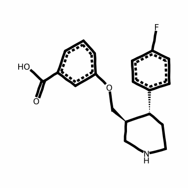 O=C(O)c1cccc(OC[C@@H]2CNCC[C@H]2c2ccc(F)cc2)c1